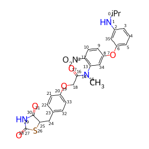 CC(C)Nc1cccc(Oc2ccc([N+](=O)[O-])c(N(C)C(=O)COc3ccc(CC4SC(=O)NC4=O)cc3)c2)c1